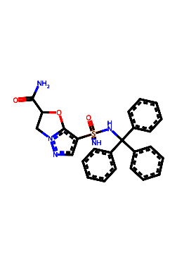 N=S(=O)(NC(c1ccccc1)(c1ccccc1)c1ccccc1)c1cnn2c1OC(C(N)=O)C2